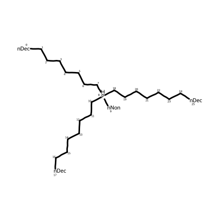 CCCCCCCCCCCCCCCCC[PH](CCCCCCCCC)(CCCCCCCCCCCCCCCCC)CCCCCCCCCCCCCCCCC